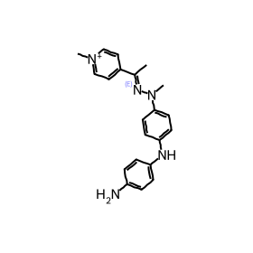 C/C(=N\N(C)c1ccc(Nc2ccc(N)cc2)cc1)c1cc[n+](C)cc1